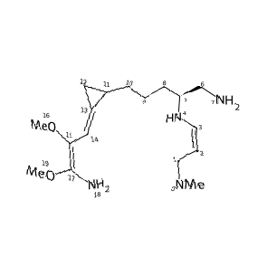 CNC/C=C\N[C@H](CN)CCCC1C/C1=C\C(OC)=C(/N)OC